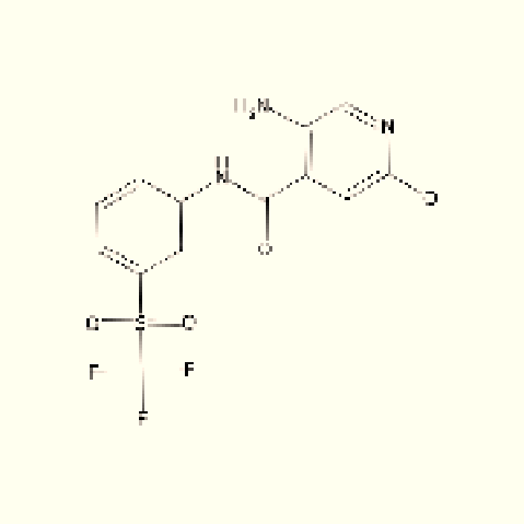 COc1cc(C(=O)Nc2cccc(S(=O)(=O)C(F)(F)F)c2)c(N)cn1